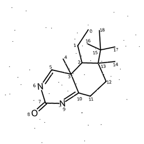 CCC1C2(C)C=NC(=O)N=C2CCC1(C)C(C)(C)C